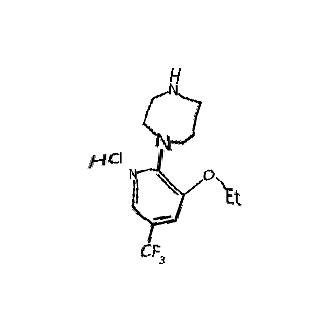 CCOc1cc(C(F)(F)F)cnc1N1CCNCC1.Cl